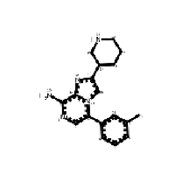 Cc1cccc(-c2cnc(N)c3nc(C4CCCNC4)cn23)c1